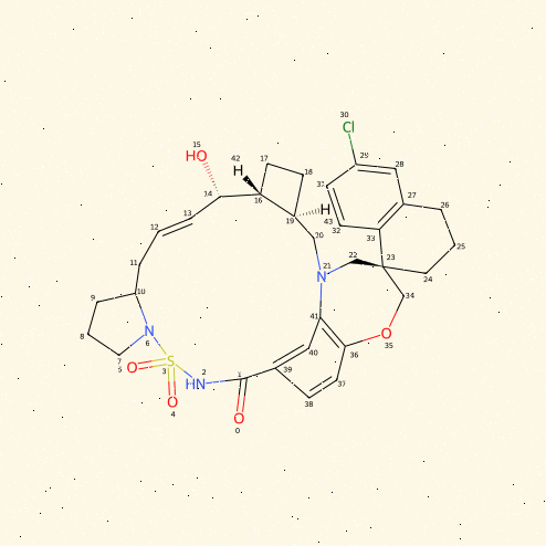 O=C1NS(=O)(=O)N2CCCC2C/C=C/[C@H](O)[C@@H]2CC[C@H]2CN2C[C@@]3(CCCc4cc(Cl)ccc43)COc3ccc1cc32